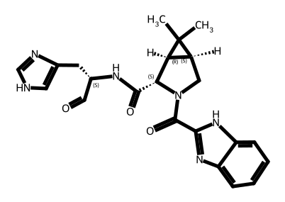 CC1(C)[C@@H]2[C@@H](C(=O)N[C@H](C=O)Cc3c[nH]cn3)N(C(=O)c3nc4ccccc4[nH]3)C[C@@H]21